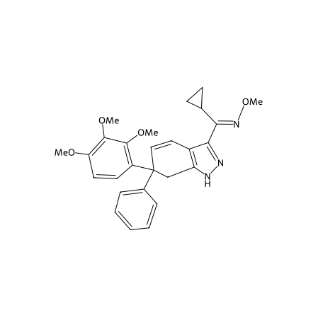 CO/N=C(/c1n[nH]c2c1C=CC(c1ccccc1)(c1ccc(OC)c(OC)c1OC)C2)C1CC1